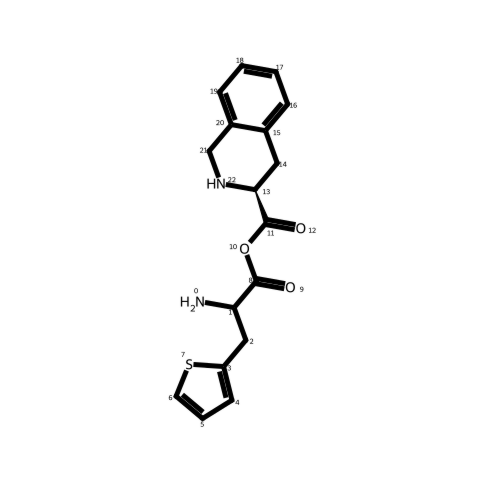 NC(Cc1cccs1)C(=O)OC(=O)[C@@H]1Cc2ccccc2CN1